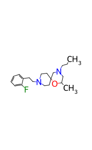 CCCN1CC(C)OC2(CCN(CCc3ccccc3F)CC2)C1